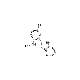 CNc1ccc(Cl)cc1-c1cc2ccccc2[nH]1